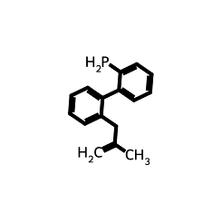 C=C(C)Cc1ccccc1-c1ccccc1P